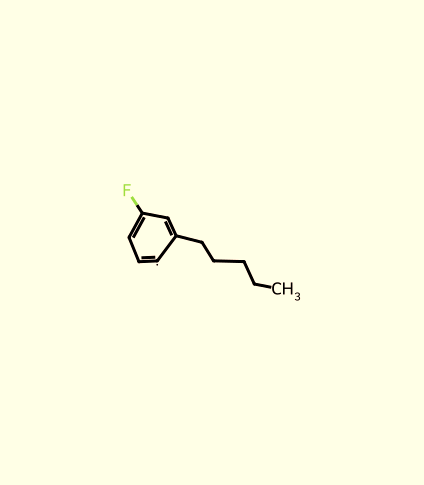 CCCCCc1[c]ccc(F)c1